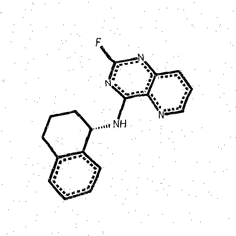 Fc1nc(N[C@H]2CCCc3ccccc32)c2ncccc2n1